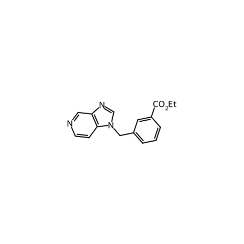 CCOC(=O)c1cccc(Cn2cnc3cnccc32)c1